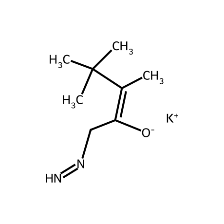 CC(=C([O-])CN=N)C(C)(C)C.[K+]